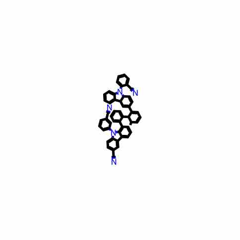 CC1C=CC=C(C2=CC3c4ccccc4N(c4ccccc4C#N)C3C=C2)C1c1ccccc1-c1cccc2c3cc(C#N)ccc3n(-c3cccc(C#N)c3)c12